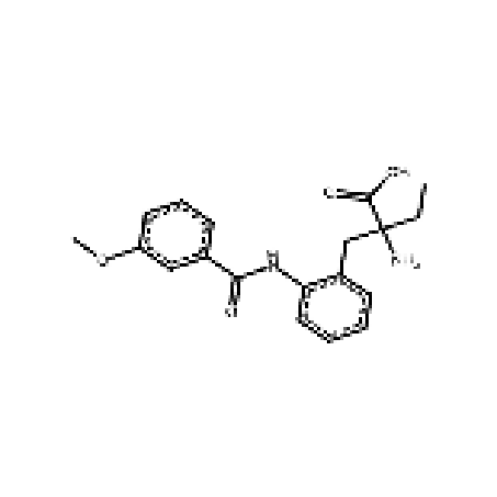 CCC(N)(Cc1ccccc1NC(=O)c1cccc(OC)c1)C(=O)O